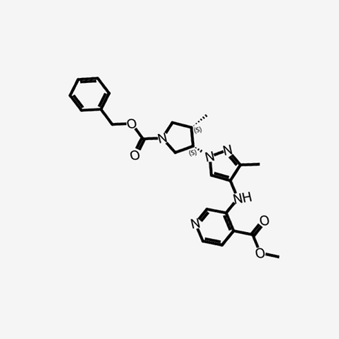 COC(=O)c1ccncc1Nc1cn([C@@H]2CN(C(=O)OCc3ccccc3)C[C@@H]2C)nc1C